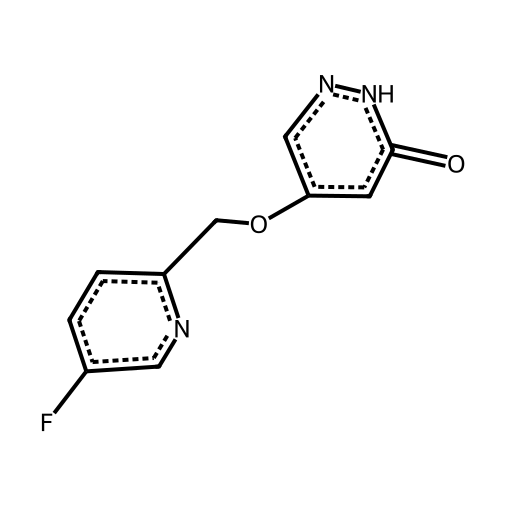 O=c1cc(OCc2ccc(F)cn2)cn[nH]1